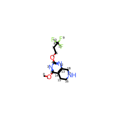 COc1nc(OCCC(F)(F)F)nc2c1CCNC2